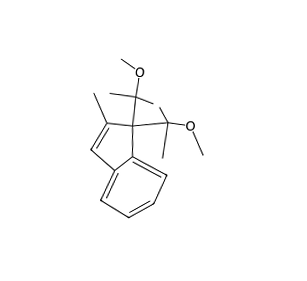 COC(C)(C)C1(C(C)(C)OC)C(C)=Cc2ccccc21